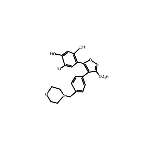 CCc1cc(-c2onc(C(=O)O)c2-c2ccc(CN3CCOCC3)cc2)c(O)cc1O